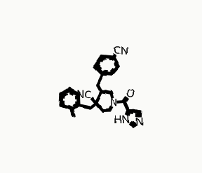 Cc1ccccc1CC1(C#N)CCN(C(=O)c2cnc[nH]2)CC1Cc1ccc(C#N)cc1